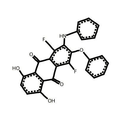 O=C1c2c(O)ccc(O)c2C(=O)c2c(F)c(Oc3ccccc3)c(Nc3ccccc3)c(F)c21